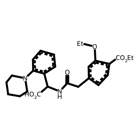 CCOC(=O)c1ccc(CC(=O)NC(C(=O)O)c2ccccc2N2CCCCC2)cc1OCC